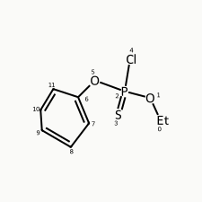 CCOP(=S)(Cl)Oc1ccccc1